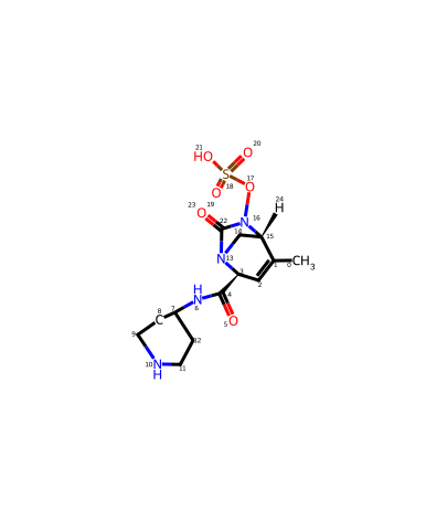 CC1=C[C@@H](C(=O)NC2CCNCC2)N2C[C@@H]1N(OS(=O)(=O)O)C2=O